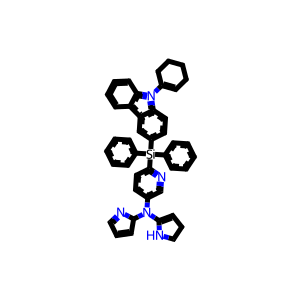 C1=C=Cc2c(c3cc([Si](c4ccccc4)(c4ccccc4)c4ccc(N(C5=CCCN5)C5C=CC=N5)cn4)ccc3n2C2=CCCCC2)C=1